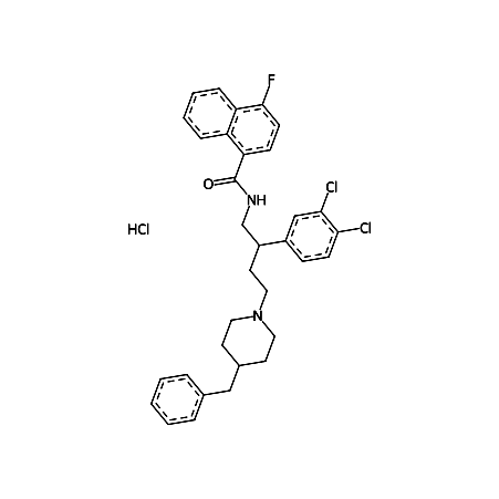 Cl.O=C(NCC(CCN1CCC(Cc2ccccc2)CC1)c1ccc(Cl)c(Cl)c1)c1ccc(F)c2ccccc12